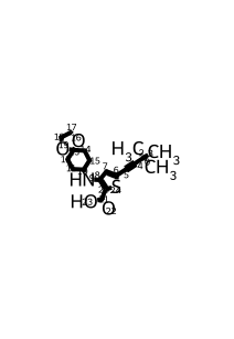 CC(C)(C)C#Cc1cc(NC2CCC3(CC2)OCCO3)c(C(=O)O)s1